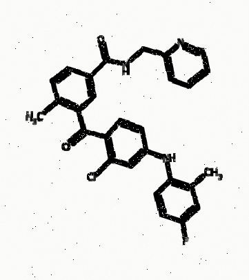 Cc1cc(F)ccc1Nc1ccc(C(=O)c2cc(C(=O)NCc3ccccn3)ccc2C)c(Cl)c1